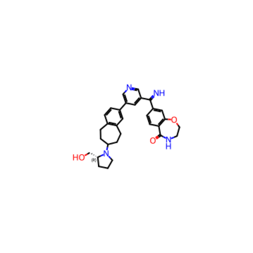 N=C(c1cncc(-c2ccc3c(c2)CCC(N2CCC[C@@H]2CO)CC3)c1)c1ccc2c(c1)OCCNC2=O